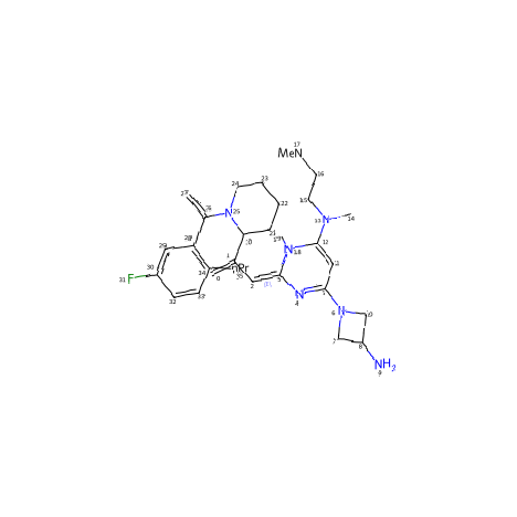 C=C(/C=C1/N=C(N2CC(N)C2)C=C(N(C)CCNC)N1C)C1CCCCN1C(=C)c1cc(F)ccc1CCC